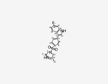 C[C@@H]1CN(S(=O)(=O)c2ccc(-c3c[nH]c4cc(F)ccc34)cc2)C[C@@H](C)N1